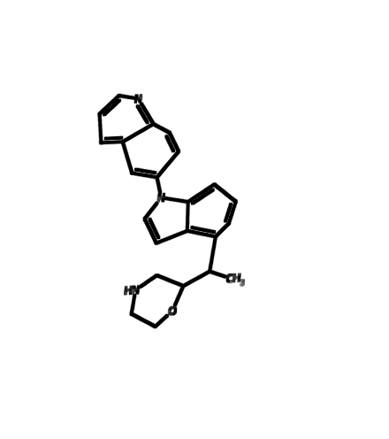 CC(c1cccc2c1ccn2-c1ccc2ncccc2c1)C1CNCCO1